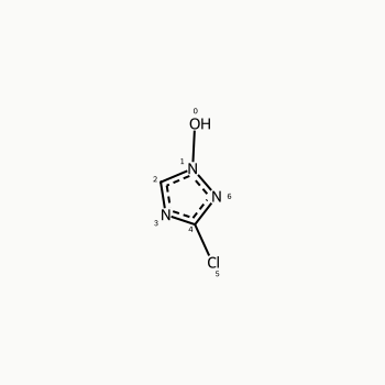 On1cnc(Cl)n1